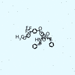 CO[C@@H]1CCN([C@@H](c2ccc(C(=O)N3C[C@@H](C(=O)N[C@H]4C[C@@H]4c4ccccc4)[C@H](C(=O)N[C@H]4C[C@@H]4c4ccccc4)C3)cc2)C(F)(F)F)C1